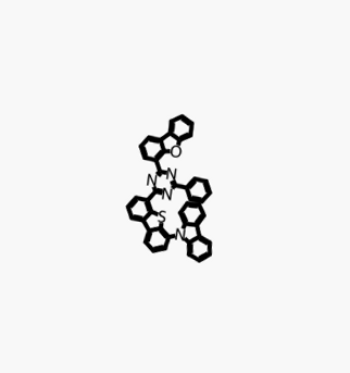 c1ccc(-c2nc(-c3cccc4c3oc3ccccc34)nc(-c3cccc4c3sc3c(-n5c6ccccc6c6ccccc65)cccc34)n2)cc1